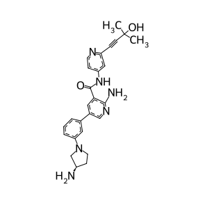 CC(C)(O)C#Cc1cc(NC(=O)c2cc(-c3cccc(N4CC[C@@H](N)C4)c3)cnc2N)ccn1